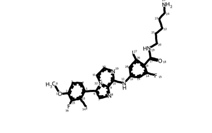 COc1ccc(-c2cnc3c(Nc4cc(F)c(C(=O)NCCCCCN)c(I)c4)nccn23)c(I)c1F